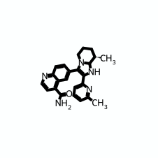 Cc1cccc(C2=C(c3ccc4nccc(C(N)=O)c4c3)N3CCC[C@H](C)C3N2)n1